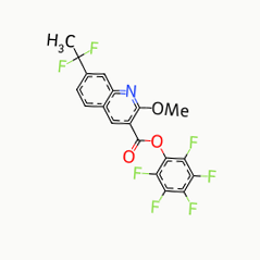 COc1nc2cc(C(C)(F)F)ccc2cc1C(=O)Oc1c(F)c(F)c(F)c(F)c1F